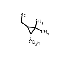 CC(=O)CC1[C@@H](C(=O)O)C1(C)C